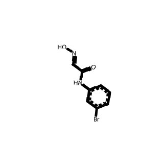 O=C(C=NO)Nc1cccc(Br)c1